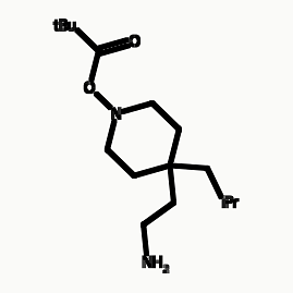 CC(C)CC1(CCN)CCN(OC(=O)C(C)(C)C)CC1